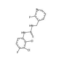 Fc1ccc(NC(=S)NCc2cccnc2F)c(Cl)c1Cl